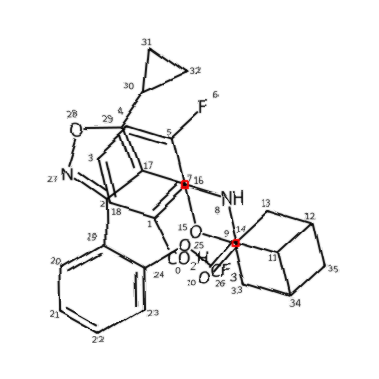 O=C(O)c1cccc(F)c1NC(=O)C1C2CC(OCc3c(-c4ccccc4OC(F)(F)F)noc3C3CC3)CC1C2